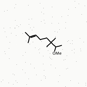 COC(C)C(C)(C)CCC=C(C)C